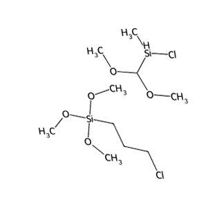 COC(OC)[SiH](C)Cl.CO[Si](CCCCl)(OC)OC